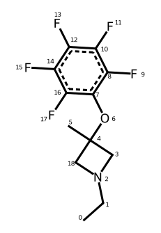 CCN1CC(C)(Oc2c(F)c(F)c(F)c(F)c2F)C1